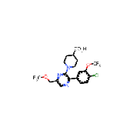 O=C(O)C1CCN(c2nc(COC(F)(F)F)cnc2-c2ccc(Cl)c(OC(F)(F)F)c2)CC1